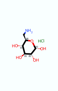 Cl.NC[C@H]1O[C@H](O)[C@H](O)[C@@H](O)[C@@H]1O